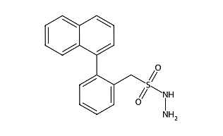 NNS(=O)(=O)Cc1ccccc1-c1cccc2ccccc12